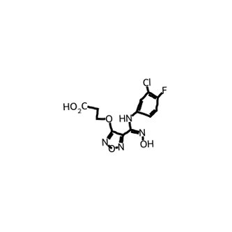 O=C(O)CCOc1nonc1/C(=N\O)Nc1ccc(F)c(Cl)c1